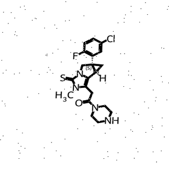 Cn1c(CC(=O)N2CCNCC2)c2n(c1=S)C[C@@]1(c3cc(Cl)ccc3F)C[C@@H]21